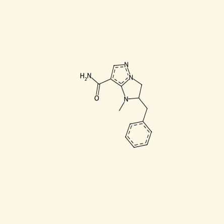 CN1c2c(C(N)=O)cnn2CC1Cc1ccccc1